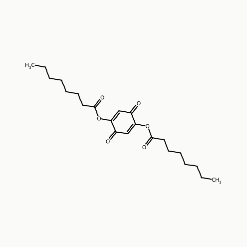 CCCCCCCC(=O)OC1=CC(=O)C(OC(=O)CCCCCCC)=CC1=O